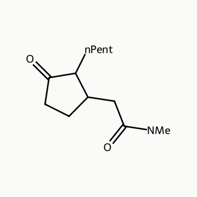 CCCCCC1C(=O)CCC1CC(=O)NC